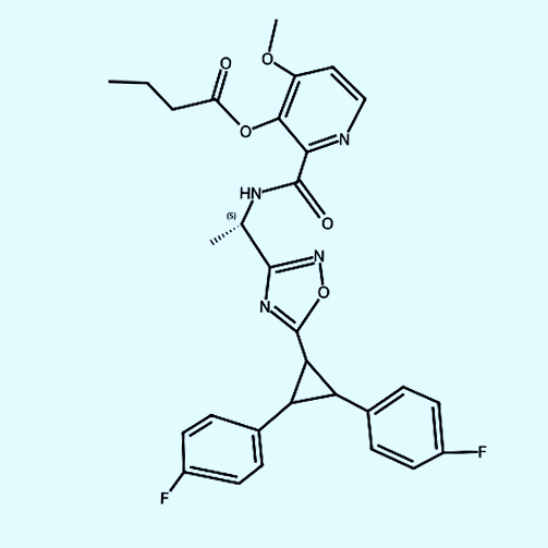 CCCC(=O)Oc1c(OC)ccnc1C(=O)N[C@@H](C)c1noc(C2C(c3ccc(F)cc3)C2c2ccc(F)cc2)n1